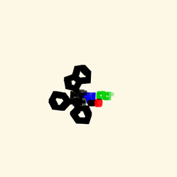 O=C[NH][Hf+2]([CH]1C=Cc2ccccc21)[SiH](c1ccccc1)c1ccccc1.[Cl-].[Cl-]